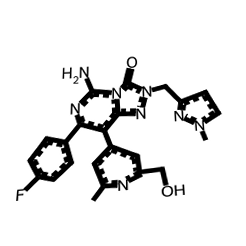 Cc1cc(-c2c(-c3ccc(F)cc3)nc(N)n3c(=O)n(Cc4ccn(C)n4)nc23)cc(CO)n1